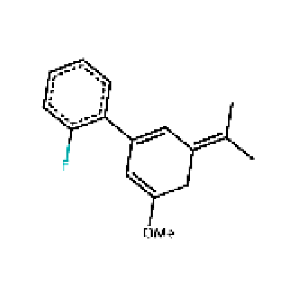 COC1=CC(c2ccccc2F)=CC(=C(C)C)C1